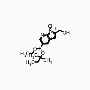 CCOB(OC(C)(C)CC)c1cnc2c(c1)cc(CO)n2C